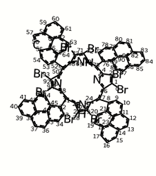 BrC1=C(Br)c2nc1c(-c1ccc3ccc4cccc5ccc1c3c45)c1[nH]c(c(Br)c1Br)c(-c1ccc3ccc4cccc5ccc1c3c45)c1nc(c(-c3ccc4ccc5cccc6ccc3c4c56)c3[nH]c(c(Br)c3Br)c2-c2ccc3ccc4cccc5ccc2c3c45)C(Br)=C1Br